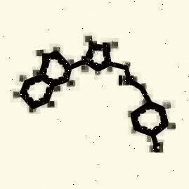 Clc1ccc(CNCc2cn(-c3cnc4ccccc4c3)nn2)cc1